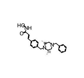 C[C@@H]1CN(Cc2ccccc2)C[C@H](C)N1Cc1ccc(C=CC(=O)NO)cc1